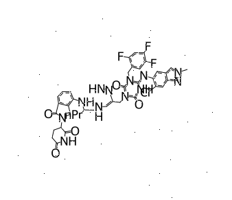 CCCC(CN/C=C(/Cn1c(=O)[nH]/c(=N\c2cc3cn(C)nc3cc2Cl)n(Cc2cc(F)c(F)cc2F)c1=O)N=N)Nc1cccc2c1CN(C1CCC(=O)NC1=O)C2=O